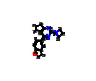 c1cc2c(cc1-c1nc(N3CCC3)nc3c1CCC3)CCO2